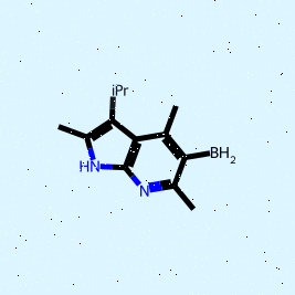 Bc1c(C)nc2[nH]c(C)c(C(C)C)c2c1C